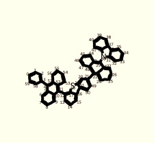 c1ccc(-c2c3ccccc3c(-c3cccc4c3sc3cc(-c5c6ccccc6c(-n6c7ccccc7c7ccccc76)c6ccccc56)ccc34)c3ccccc23)cc1